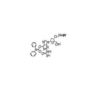 CC(C)C(=O)Nc1nc(OC(=O)N(c2ccccc2)c2ccccc2)c2ncn([C@H]3C[C@H](OCN=[N+]=[N-])[C@@H](CO)O3)c2n1